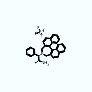 C[C@H]([NH3+])[C@H](c1ccccc1)P1Cc2ccc3ccccc3c2-c2c(ccc3ccccc23)C1.F[B-](F)(F)F